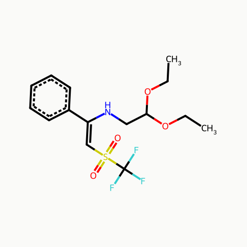 CCOC(CNC(=CS(=O)(=O)C(F)(F)F)c1ccccc1)OCC